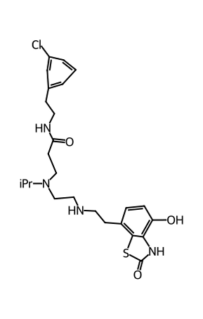 CC(C)N(CCNCCc1ccc(O)c2[nH]c(=O)sc12)CCC(=O)NCCc1cccc(Cl)c1